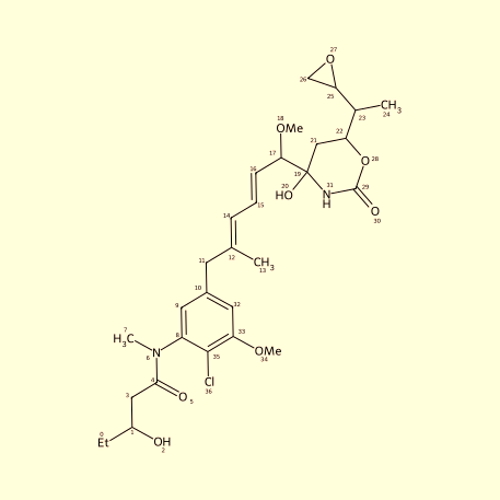 CCC(O)CC(=O)N(C)c1cc(C/C(C)=C/C=C/C(OC)C2(O)CC(C(C)C3CO3)OC(=O)N2)cc(OC)c1Cl